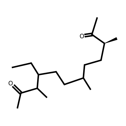 CCC(CCC(C)CC[C@H](C)C(C)=O)C(C)C(C)=O